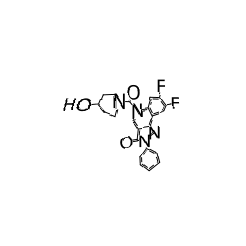 O=C(N1CCC(O)CC1)n1cc2c(=O)n(-c3ccccc3)nc-2c2cc(F)c(F)cc21